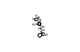 O=C1CN(c2c(O)cc(NC(=O)NCC3CNCC34CCCCC4)cc2F)S(=O)(=O)N1